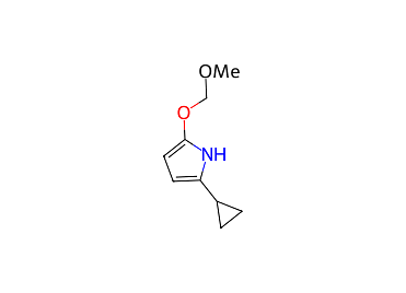 COCOc1ccc(C2CC2)[nH]1